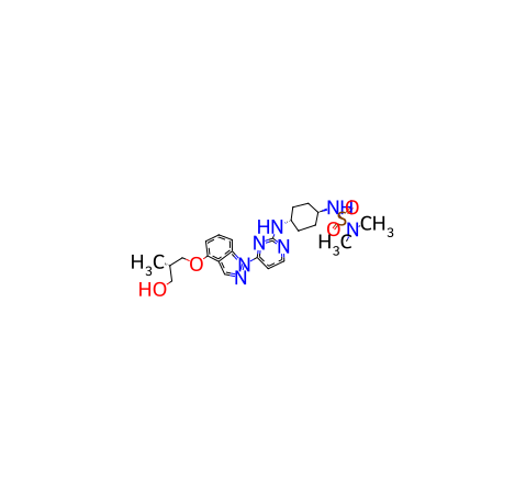 C[C@@H](CO)COc1cccc2c1cnn2-c1ccnc(N[C@H]2CC[C@H](NS(=O)(=O)N(C)C)CC2)n1